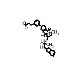 CN(CC(O)CNC(C)(C)CC1Cc2ccccc2C1)S(=O)(=O)c1ccc(-c2cccc(CCC(=O)O)c2)cc1Cl